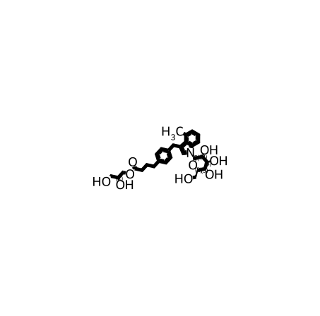 Cc1cccc2c1c(Cc1ccc(CCCC(=O)OC[C@H](O)CO)cc1)cn2[C@@H]1O[C@H](CO)[C@@H](O)[C@H](O)[C@H]1O